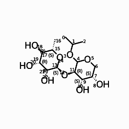 CC(C)OC1OC[C@H](O)[C@H](O)[C@H]1O[C@@H]1O[C@@H](C)[C@H](O)[C@@H](O)[C@H]1O